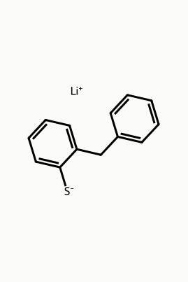 [Li+].[S-]c1ccccc1Cc1ccccc1